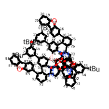 CC(C)(C)c1cc(-c2cc3c(c(-c4c(-c5ccc6c(c5)oc5ccccc56)cccc4-c4ccc5c(c4)oc4ccccc45)c2)Nc2cc(-n4c5ccccc5c5cc(C(C)(C)C)ccc54)cc4c2B3c2cc(-c3cc(C(C)(C)C)cc(C(C)(C)C)c3)cc(-c3c(-c5ccc6c(c5)oc5ccccc56)cccc3-c3ccc5c(c3)oc3ccccc35)c2N4)cc(C(C)(C)C)c1